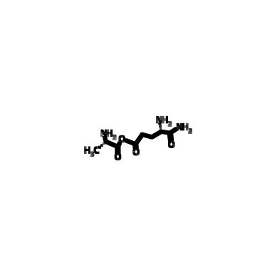 C[C@H](N)C(=O)OC(=O)CC[C@H](N)C(N)=O